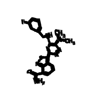 CN(C)c1nnc(-c2snc3c(C(N)=O)cccc23)nc1NCc1cccc(F)c1